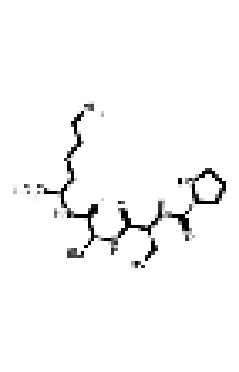 CC[C@H](C)[C@H](NC(=O)[C@H](CS)NC(=O)[C@@H]1CCCN1)C(=O)N[C@H](CCCCN)C(=O)O